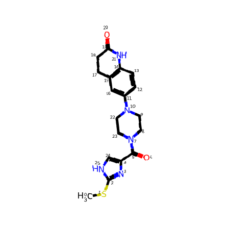 CSc1nc(C(=O)N2CCN(c3ccc4c(c3)CCC(=O)N4)CC2)c[nH]1